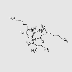 CCCCCC(C)C[C@@H](NC(=O)N[C@@H](CCCCN)C(=O)O)C(=O)NC(C)C(C)CC